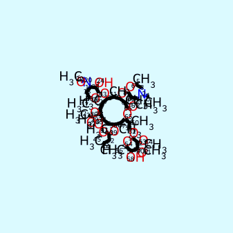 CCN1C[C@H](C)O[C@@H](O[C@H]2[C@H](C)[C@@H](O[C@@H]3O[C@H](C)CC(=NOC)[C@H]3O)[C@@H](C)C[C@](C)(OC(C)=O)C(=O)[C@H](C)[C@H](OC(=O)CC(C)C)[C@@H](C)C([C@@H](C)CO[C@@H]3O[C@H](C)[C@@H](O)[C@@H](OC)[C@H]3OC)OC(=O)[C@@H]2C)C[C@H]1C